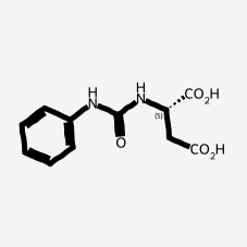 O=C(O)C[C@H](NC(=O)Nc1ccccc1)C(=O)O